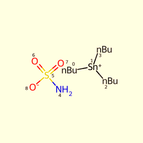 CCC[CH2][Sn+]([CH2]CCC)[CH2]CCC.NS(=O)(=O)[O-]